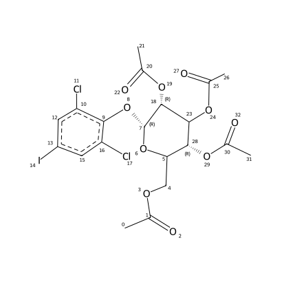 CC(=O)OCC1O[C@H](Oc2c(Cl)cc(I)cc2Cl)[C@H](OC(C)=O)C(OC(C)=O)[C@@H]1OC(C)=O